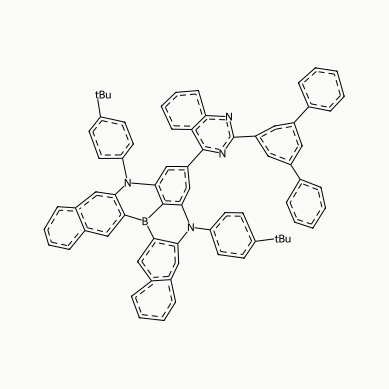 CC(C)(C)c1ccc(N2c3cc4ccccc4cc3B3c4cc5ccccc5cc4N(c4ccc(C(C)(C)C)cc4)c4cc(-c5nc(-c6cc(-c7ccccc7)cc(-c7ccccc7)c6)nc6ccccc56)cc2c43)cc1